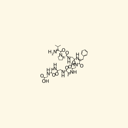 CC(C)[C@H](N)C(=O)N1CCC[C@H]1C(=O)NCC(=O)N[C@@H](Cc1ccccc1)C(=O)NCC(=O)N[C@@H](C)C(=O)NCC(=O)N[C@@H](C)C(=O)NCC(=O)O